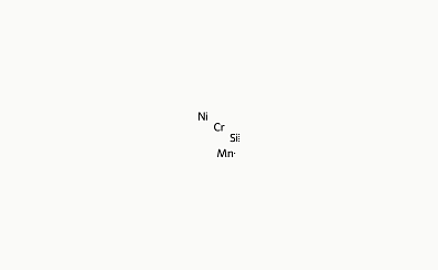 [Cr].[Mn].[Ni].[Si]